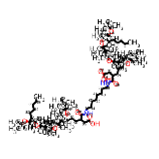 CCCCCC[Si](C)(OC(C)(C)C(C)(C)[Si](C)(C)OC(C)(C)C(C)(C)[Si](C)(CCCC(CC(=O)O)C(=O)NCCCCCCCCNC(=O)C(CCC[Si](C)(OC(C)(C)[Si](C)(C)C)C(C)(C)C(C)(C)O[Si](C)(C)C(C)(C)C(C)(C)O[Si]1(C)C(CCCCC)C1(C)O[Si](C)(C)C)CC(=O)O)OC(C)(C)[Si](C)(C)C)C(C)(C)O[Si](C)(C)C